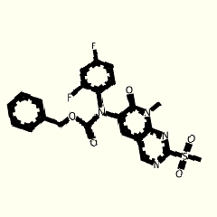 Cn1c(=O)c(N(C(=O)OCc2ccccc2)c2ccc(F)cc2F)cc2cnc(S(C)(=O)=O)nc21